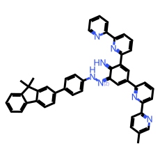 Cc1ccc(-c2cccc(C3=C/C(=N/Nc4ccc(-c5ccc6c(c5)C(C)(C)c5ccccc5-6)cc4)C(=N)C(c4cccc(-c5ccccn5)n4)=C3)n2)nc1